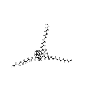 CCCCCCCCCCCCCCCC(=S)C(O)(C(=O)CCCCCCCCCCCCC)C(O)C(O)C(=O)CCCCCCCCCCCCC